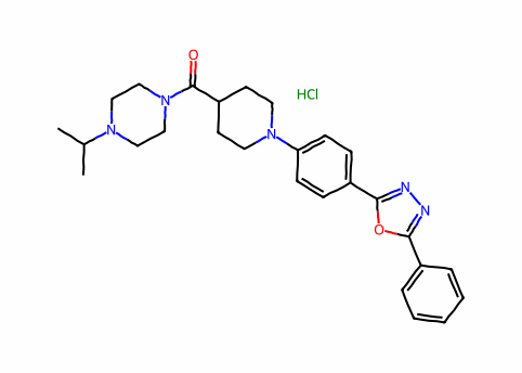 CC(C)N1CCN(C(=O)C2CCN(c3ccc(-c4nnc(-c5ccccc5)o4)cc3)CC2)CC1.Cl